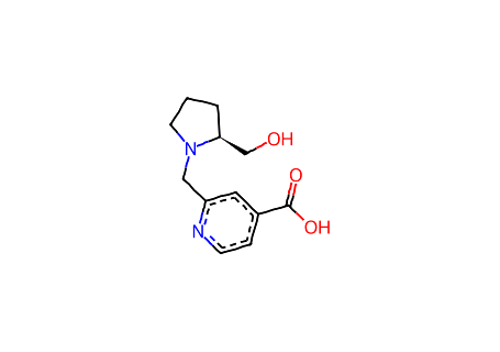 O=C(O)c1ccnc(CN2CCC[C@H]2CO)c1